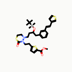 COC(=O)c1ccc(CCN2C(=O)SCCN2CCC(Cc2cccc(/C=C/c3ccsc3)c2)O[Si](C)(C)C(C)(C)C)s1